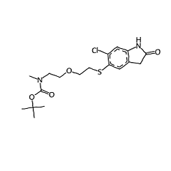 CN(CCOCCSc1cc2c(cc1Cl)NC(=O)C2)C(=O)OC(C)(C)C